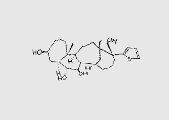 C[C@]12CC[C@H](O)C[C@@H]1[C@@H](O)[C@H](O)C1[C@@H]2CC[C@@]2(C)[C@H]1CC[C@@]2(O)c1cccs1